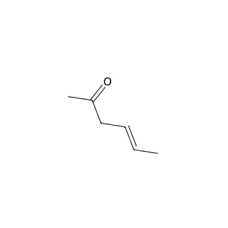 C/C=C/CC(C)=O